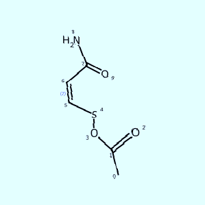 CC(=O)OS/C=C\C(N)=O